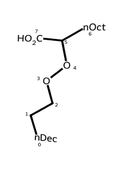 CCCCCCCCCCCCOOC(CCCCCCCC)C(=O)O